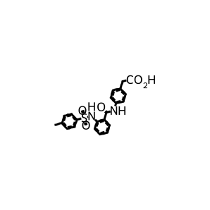 Cc1ccc(S(=O)(=O)Nc2ccccc2C(=O)Nc2ccc(CC(=O)O)cc2)cc1